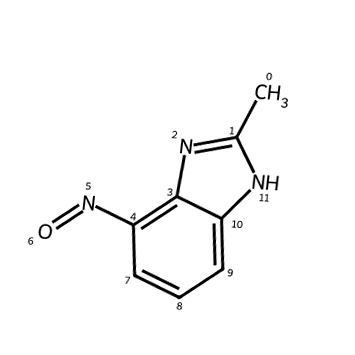 Cc1nc2c(N=O)cccc2[nH]1